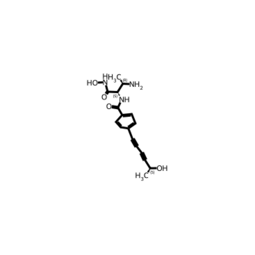 C[C@H](O)C#CC#Cc1ccc(C(=O)N[C@H](C(=O)NO)[C@@H](C)N)cc1